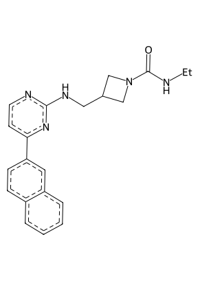 CCNC(=O)N1CC(CNc2nccc(-c3ccc4ccccc4c3)n2)C1